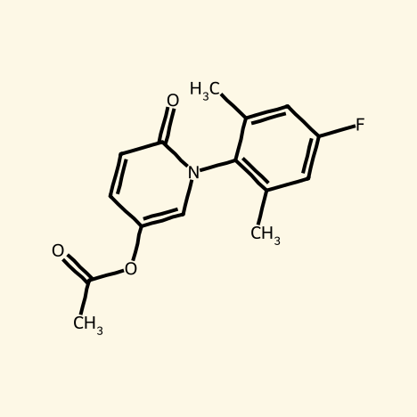 CC(=O)Oc1ccc(=O)n(-c2c(C)cc(F)cc2C)c1